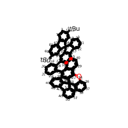 CC(C)(C)c1ccc2c(c1)C1(c3ccccc3-c3ccc(-c4ccccc4-c4cc5c(c6ccccc46)Oc4ccccc4C54c5ccccc5-c5ccccc54)cc31)c1cc(C(C)(C)C)ccc1-2